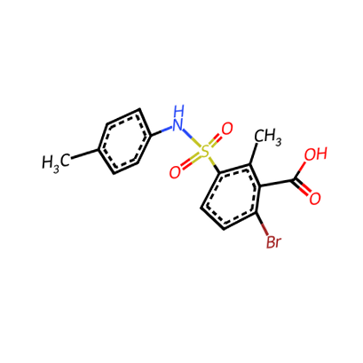 Cc1ccc(NS(=O)(=O)c2ccc(Br)c(C(=O)O)c2C)cc1